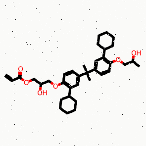 C=CC(=O)OCC(O)COc1ccc(C(C)(C)c2ccc(OC[C](C)O)c(C3CCCCC3)c2)cc1C1CCCCC1